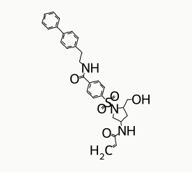 C=CC(=O)NC1CC(CO)N(S(=O)(=O)c2ccc(C(=O)NCCc3ccc(-c4ccccc4)cc3)cc2)C1